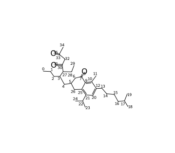 CCCC(CC1CC(=O)c2c(C)c(CCCCC(C)C)cc(C(C)C)c2C1)C(CC)C(=O)CC(C)=O